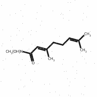 CC(C)=CCC/C(C)=C/C(=O)N(C)O